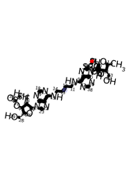 C[C@@H]1O[C@H]2[C@H](n3cnc4c(NC/C=C/CNc5ncnc6c5ncn6[C@@H]5O[C@H](CO)[C@@H](O[PH](=O)S)[C@H]5F)ncnc43)O[C@]1(CO)[C@H]2O[PH](=S)S